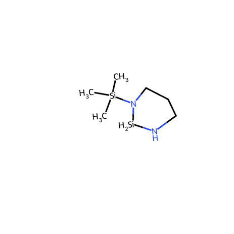 C[Si](C)(C)N1CCCN[SiH2]1